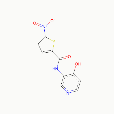 O=C(Nc1cnccc1O)C1=CCC([N+](=O)[O-])S1